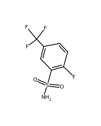 NS(=O)(=O)c1cc(C(F)(F)F)ccc1F